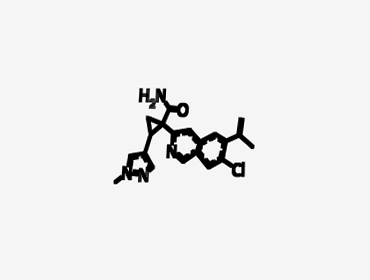 C=C(C)c1cc2cc(C3(C(N)=O)CC3c3cnn(C)c3)ncc2cc1Cl